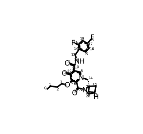 CCCCOc1c2n(cc(C(=O)NCc3ccc(F)cc3F)c1=O)C[C@]13C[C@H](CN1C2=O)C3